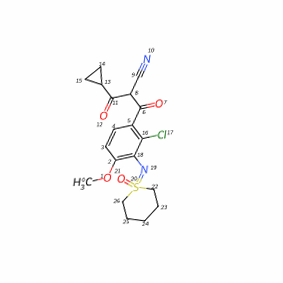 COc1ccc(C(=O)C(C#N)C(=O)C2CC2)c(Cl)c1N=S1(=O)CCCCC1